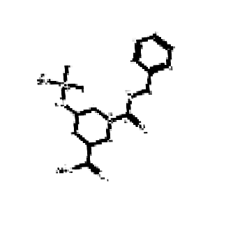 COC(=O)C1CC(O[Si](C)(C)C(C)(C)C)CN(C(=O)OCc2ccccc2)C1